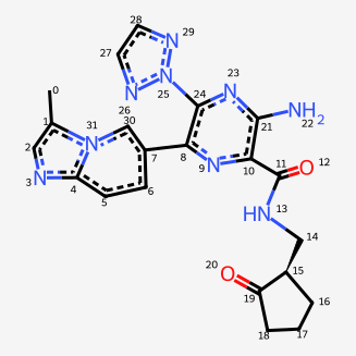 Cc1cnc2ccc(-c3nc(C(=O)NC[C@H]4CCCC4=O)c(N)nc3-n3nccn3)cn12